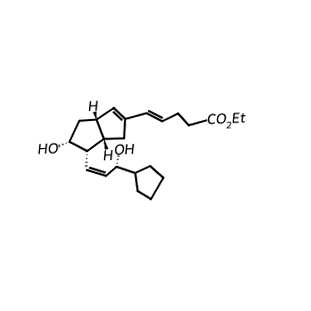 CCOC(=O)CCC=CC1=C[C@H]2C[C@@H](O)[C@@H](/C=C\[C@H](O)C3CCCC3)[C@H]2C1